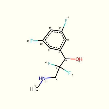 CNCC(F)(F)C(O)c1cc(F)cc(F)c1